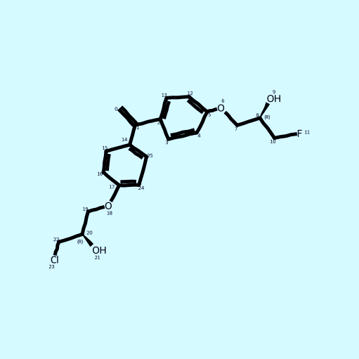 C=C(c1ccc(OC[C@@H](O)CF)cc1)c1ccc(OC[C@@H](O)CCl)cc1